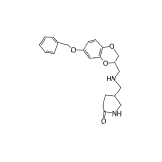 O=C1CCC(CNCC2COc3ccc(OCc4ccccc4)cc3O2)CN1